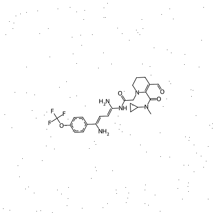 CN(C(=O)C1=C(C=O)CCCN1CC(=O)N/C(N)=C/C=C(\N)c1ccc(OC(F)(F)F)cc1)C1CC1